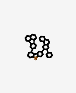 c1ccc(-c2cc3ccc4ccccc4c3cc2-c2ccc3sc4cccc(-c5ccc6c(c5)-c5cccc7cccc-6c57)c4c3c2)cc1